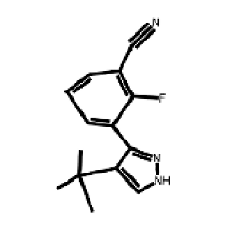 CC(C)(C)c1c[nH]nc1-c1cccc(C#N)c1F